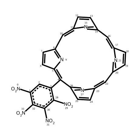 O=[N+]([O-])c1cc(C2=C3C=CC(=N3)C=C3C=CC(=N3)C=C3C=CC(=N3)C=C3C=CC2=N3)c([N+](=O)[O-])c([N+](=O)[O-])c1[N+](=O)[O-]